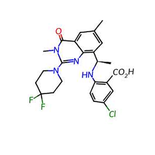 Cc1cc([C@@H](C)Nc2ccc(Cl)cc2C(=O)O)c2nc(N3CCC(F)(F)CC3)n(C)c(=O)c2c1